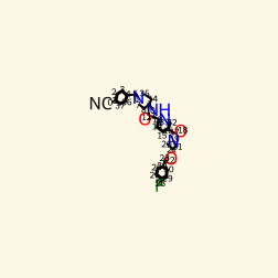 N#Cc1ccc(CN2CCC(NC(=O)c3ccc(C(=O)N4CC(OCc5ccc(F)cc5)C4)cn3)CC2)cc1